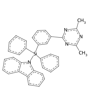 Cc1nc(C)nc(-c2cccc([Si](c3ccccc3)(c3ccccc3)n3c4ccccc4c4ccccc43)c2)n1